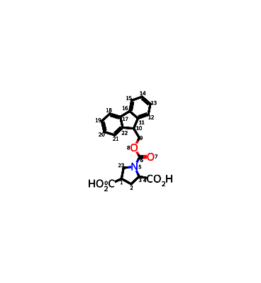 O=C(O)C1CC(C(=O)O)N(C(=O)OCC2c3ccccc3-c3ccccc32)C1